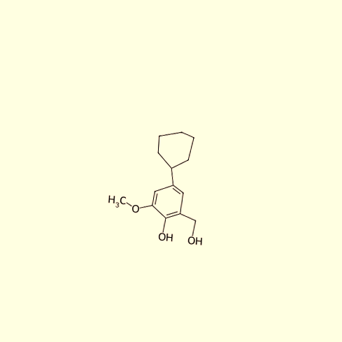 COc1cc(C2CCCCC2)cc(CO)c1O